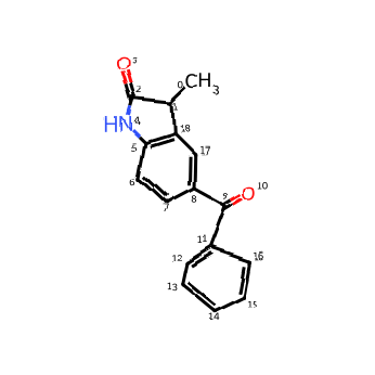 CC1C(=O)Nc2ccc(C(=O)c3ccccc3)cc21